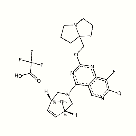 Fc1c(Cl)ncc2c(N3C[C@H]4C=C[C@@H](C3)N4)nc(OCC34CCCN3CCC4)nc12.O=C(O)C(F)(F)F